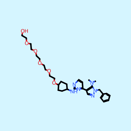 CN(C)c1c(-c2ccnc(NC3CCC(OCCOCCOCCOCCOCCO)CC3)n2)cnn1Cc1ccccc1